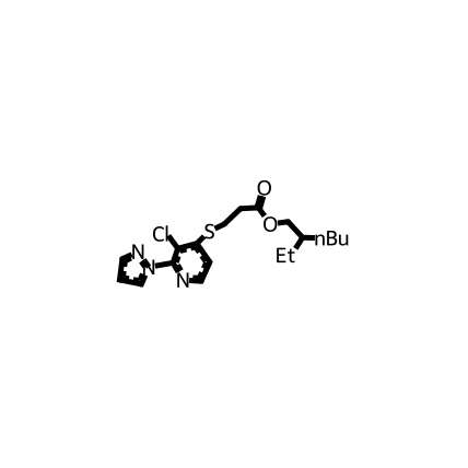 CCCCC(CC)COC(=O)CCSc1ccnc(-n2cccn2)c1Cl